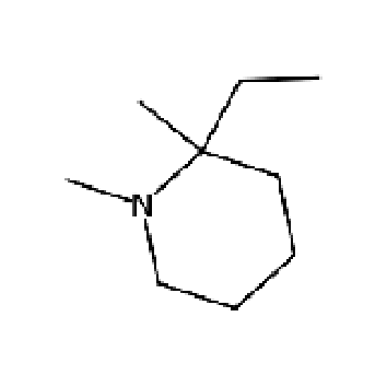 CCC1(C)CCCCN1C